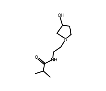 CC(C)C(=O)NCCN1CCC(O)C1